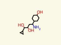 NC(CC(O)C(O)C1CC1)C1CCC(O)CC1